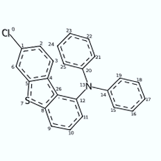 Clc1ccc2c(c1)sc1cccc(N(c3ccccc3)c3ccccc3)c12